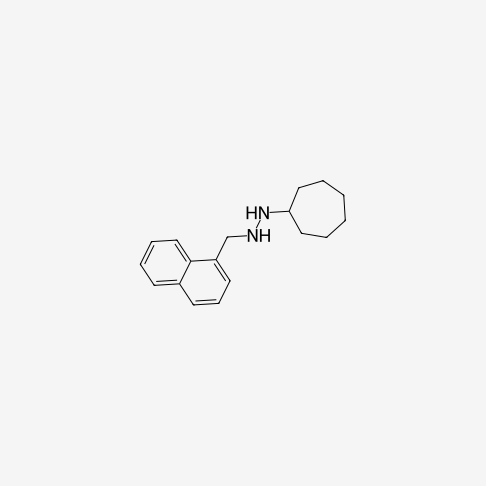 c1ccc2c(CNNC3CCCCCC3)cccc2c1